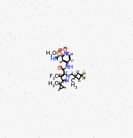 CC1(Cn2nc(C3(C)CC3)c(C(F)(F)F)c2C(=O)Nc2cc[n+]([O-])c(S(C)(=N)=O)c2)CC(F)(F)C1